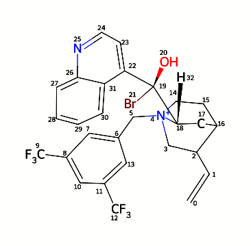 C=CC1C[N+]2(Cc3cc(C(F)(F)F)cc(C(F)(F)F)c3)CCC1C[C@H]2[C@](O)(Br)c1ccnc2ccccc12